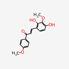 COc1ccc(C(=O)C=Cc2ccc(O)c(OC)c2O)cc1